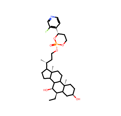 CC[C@@H]1C2C[C@H](O)CC[C@]2(C)C2CC[C@@]3(C)C(CCC3[C@H](C)CCO[P@@]3(=O)OCC[C@@H](c4ccncc4F)O3)C2[C@@H]1O